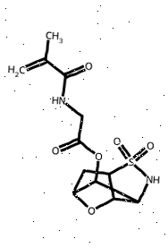 C=C(C)C(=O)NCC(=O)OC1C2CC3C(O2)C1NS3(=O)=O